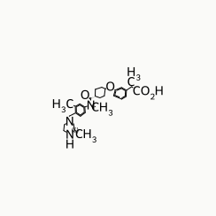 Cc1cc(N(C)C(=O)[C@H]2CC[C@H](Oc3cccc(C(C)C(=O)O)c3)CC2)ccc1CN1CCN[C@@H](C)C1